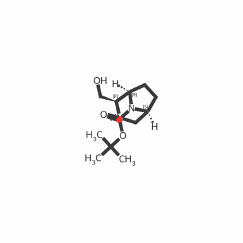 CC(C)(C)OC(=O)N1[C@H]2CC[C@@H]1[C@H](CO)NC2